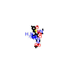 CCNC(C)OC(=O)c1c(-c2cc3cc(C)cc(OC)c3s2)c2c(N)ncnn2c1C(=O)N1CCN(C(=O)OC(C)(C)C)CC1